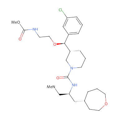 CNC[C@H](C[C@@H]1CCCOCC1)NC(=O)N1CCC[C@@H]([C@@H](OCCNC(=O)OC)c2cccc(Cl)c2)C1